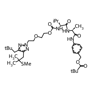 CSC(C)(C)Cc1nn(CCOCCOC(=O)N[C@H](C(=O)N[C@@H](C)C(=O)Nc2ccc(COC(=O)C(C)(C)C)cc2)C(C)C)nc1CC(C)(C)C